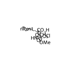 CCCCC/C=C\C/C=C\C/C=C\CCCCCC(OC(=O)C(C)(C(=O)c1ccc(Cl)cc1)c1c[nH]c2ccc(OC)cc12)C(=O)O